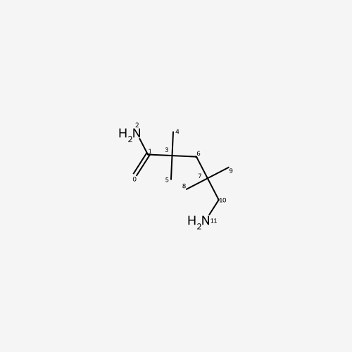 C=C(N)C(C)(C)CC(C)(C)CN